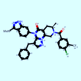 CNc1n[nH]c2cc(-n3c(=O)c4c(n5ncc(Cc6ccccc6)c35)CN(C(=O)c3ccc(Br)c(C(F)(F)F)c3)[C@H](C)C4)ccc12